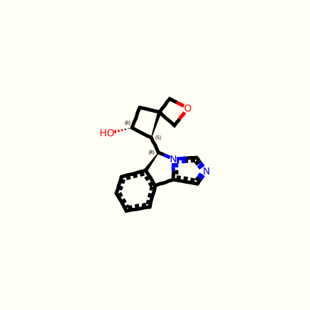 O[C@@H]1CC2(COC2)[C@H]1[C@@H]1c2ccccc2-c2cncn21